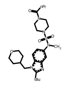 CCCC(=O)N1CCN(S(=O)(=O)N(C)c2ccc3c(c2)nc(C(C)(C)C)n3CC2CCOCC2)CC1